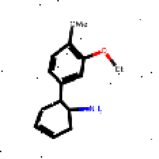 CCOc1cc(C2CC=CCC2N)ccc1OC